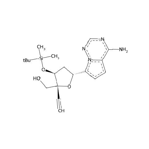 C#C[C@]1(CO)O[C@@H](c2ccc3c(N)ncnn23)C[C@@H]1O[Si](C)(C)C(C)(C)C